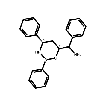 NC(c1ccccc1)[C@@H]1C[C@H](c2ccccc2)NB(c2ccccc2)O1